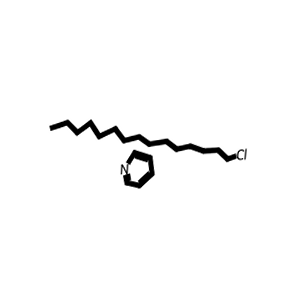 CCCCCCCCCCCCCCCCl.c1ccncc1